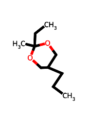 CCCC1COC(C)(CC)OC1